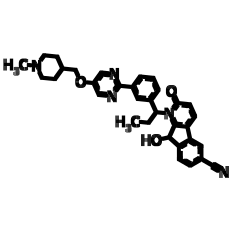 CCC(c1cccc(-c2ncc(OCC3CCN(C)CC3)cn2)c1)n1c2c(ccc1=O)-c1cc(C#N)ccc1C2O